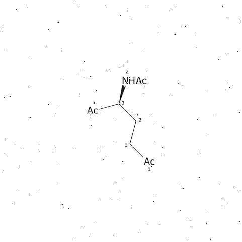 CC(=O)CC[C@H](NC(C)=O)C(C)=O